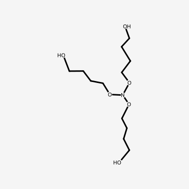 OCCCCON(OCCCCO)OCCCCO